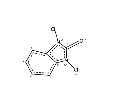 O=c1n(Cl)c2ccccc2n1Cl